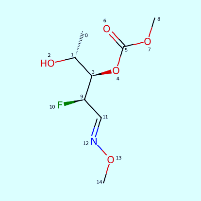 [CH2][C@@H](O)[C@@H](OC(=O)OC)[C@H](F)/C=N/OC